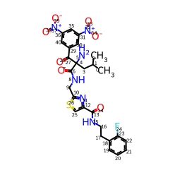 CC(C)CC(N)(C(=O)NCc1nc(C(=O)NCCc2ccccc2F)cs1)C(=O)c1cc([N+](=O)[O-])cc([N+](=O)[O-])c1